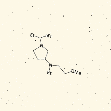 CCCC(CC)N1CCC(N(CC)CCOC)C1